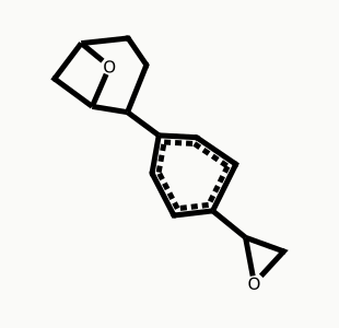 c1cc(C2CCC3CC2O3)ccc1C1CO1